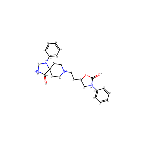 O=C1OC(CCN2CCC3(CC2)C(=O)NCN3c2ccccc2)CN1c1ccccc1